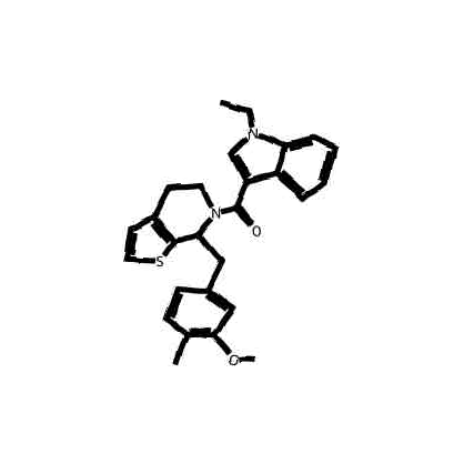 CCn1cc(C(=O)N2CCc3ccsc3C2Cc2ccc(C)c(OC)c2)c2ccccc21